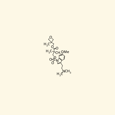 COc1ccc2c(CCN(C)C)cn(S(=O)(=O)OCC(C)(C)C(=O)OCC3(C)COC3)c2c1